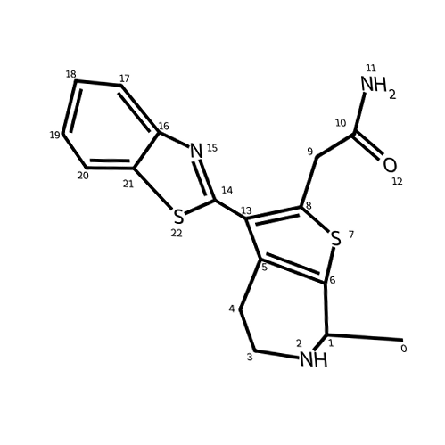 CC1NCCc2c1sc(CC(N)=O)c2-c1nc2ccccc2s1